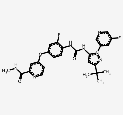 CNC(=O)c1cc(Oc2ccc(NC(=O)Nc3cc(C(C)(C)C)nn3-c3cncc(F)c3)c(F)c2)ccn1